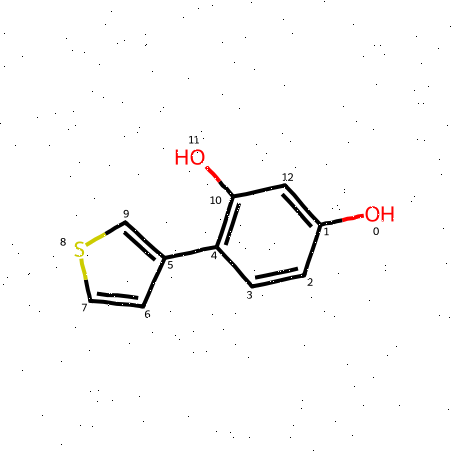 Oc1ccc(-c2ccsc2)c(O)c1